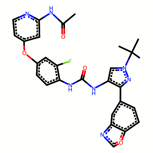 CC(=O)Nc1cc(Oc2ccc(NC(=O)Nc3cn(C(C)(C)C)nc3-c3ccc4ocnc4c3)c(F)c2)ccn1